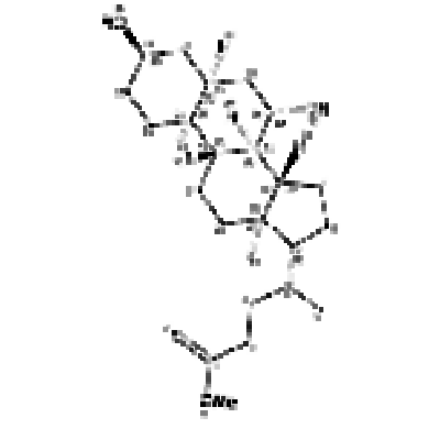 COC(=O)CCC(C)[C@H]1CC[C@H]2[C@@H]3[C@@H](O)C[C@@H]4C[C@H](O)CC[C@]4(C)[C@H]3CC[C@]12C